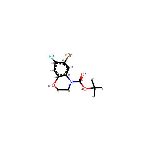 CC(C)(C)OC(=O)N1CCOc2cc(F)c(Br)cc21